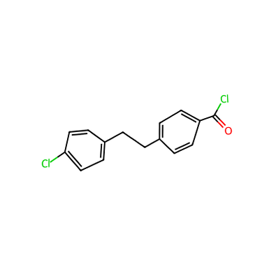 O=C(Cl)c1ccc(CCc2ccc(Cl)cc2)cc1